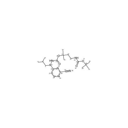 CC(C)CN(NC(=O)OC(C)(C)CCNC(=O)OC(C)(C)C)c1ccnc(C#N)n1